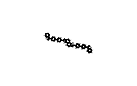 c1ccc2c(-c3ccc(-c4ccc(-c5cc6ccc7c(ccc8cc(-c9ccc(-c%10ccc(-c%11csc%12ccccc%11%12)cc%10)cc9)sc87)c6s5)cc4)cc3)csc2c1